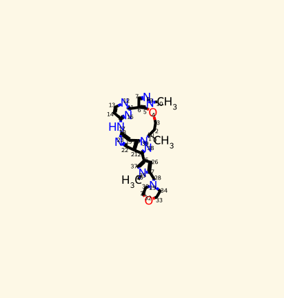 C[C@H]1CCOc2c(cnn2C)-c2nccc(n2)Nc2cc3c(cn2)c(-c2cc(CN4CCOCC4)n(C)c2)nn31